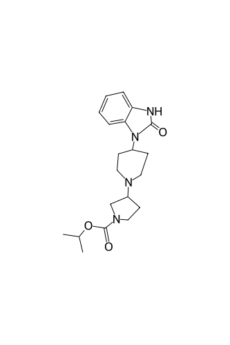 CC(C)OC(=O)N1CCC(N2CCC(n3c(=O)[nH]c4ccccc43)CC2)C1